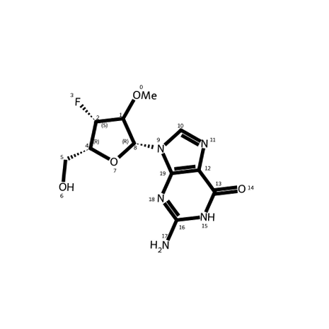 COC1[C@@H](F)[C@@H](CO)O[C@H]1n1cnc2c(=O)[nH]c(N)nc21